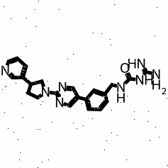 N=C(N)NC(=O)NCc1cccc(-c2cnc(N3CCC(c4cccnc4)C3)nc2)c1